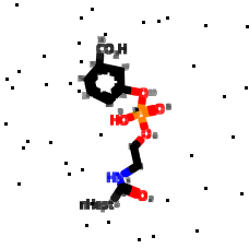 CCCCCCCC(=O)NCCOP(=O)(O)Oc1cccc(C(=O)O)c1